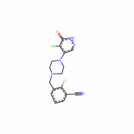 N#Cc1cccc(CN2CCN(c3cn[nH]c(=O)c3Cl)CC2)c1Cl